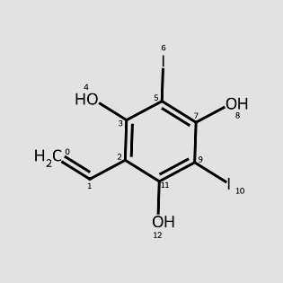 C=Cc1c(O)c(I)c(O)c(I)c1O